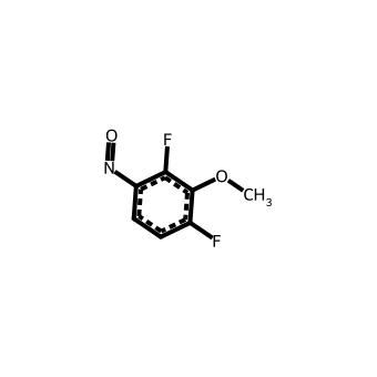 COc1c(F)ccc(N=O)c1F